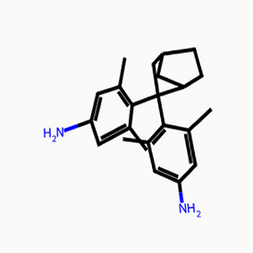 Cc1cc(N)cc(C)c1C1(c2c(C)cc(N)cc2C)CC2CCC1C2